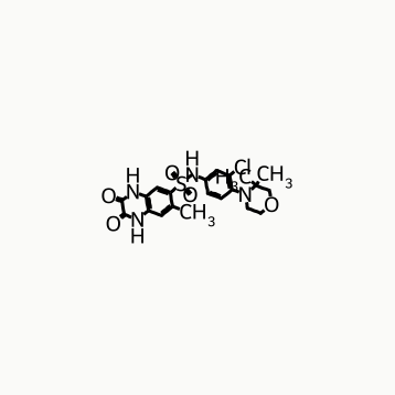 Cc1cc2[nH]c(=O)c(=O)[nH]c2cc1S(=O)(=O)Nc1ccc(N2CCOCC2(C)C)c(Cl)c1